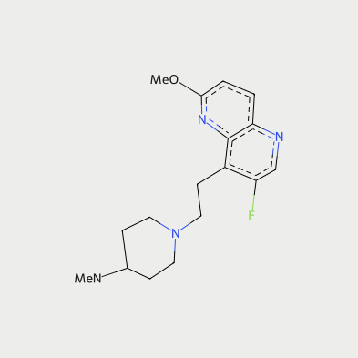 CNC1CCN(CCc2c(F)cnc3ccc(OC)nc23)CC1